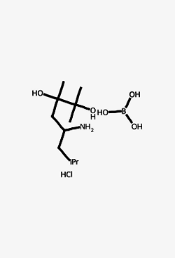 CC(C)CC(N)CC(C)(O)C(C)(C)O.Cl.OB(O)O